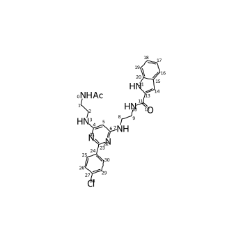 CC(=O)NCCNc1cc(NCCNC(=O)c2cc3ccccc3[nH]2)nc(-c2ccc(Cl)cc2)n1